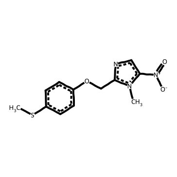 CSc1ccc(OCc2ncc([N+](=O)[O-])n2C)cc1